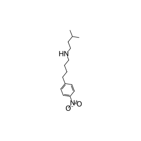 CC(C)CCNCCCCc1ccc([N+](=O)[O-])cc1